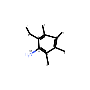 CCc1c(C)c(C)c(C)c(C)c1N